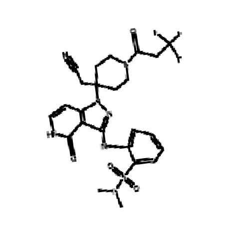 CN(C)S(=O)(=O)c1ccccc1Nc1nn(C2(CC#N)CCN(C(=O)CC(F)(F)F)CC2)c2cc[nH]c(=O)c12